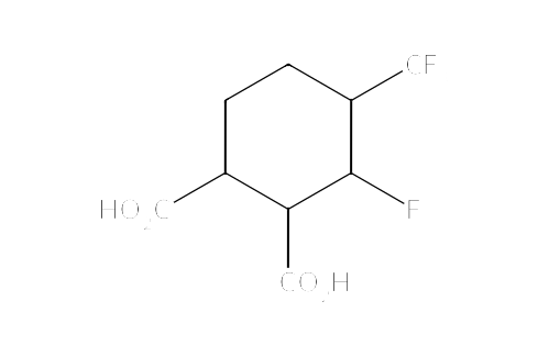 O=C(O)C1CCC(C(F)(F)F)C(F)C1C(=O)O